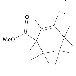 COC(=O)C1(C)C(C)=C(C)C(C)(C)C(C)(C)C1(C)C